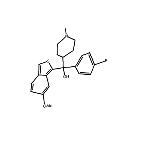 COc1ccc2csc(C(O)(c3ccc(F)cc3)C3CCN(C)CC3)c2c1